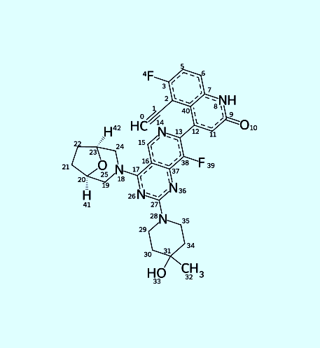 C#Cc1c(F)ccc2[nH]c(=O)cc(-c3ncc4c(N5C[C@H]6CC[C@@H](C5)O6)nc(N5CCC(C)(O)CC5)nc4c3F)c12